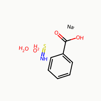 N=S.O.O.O=C(O)c1ccccc1.[Na]